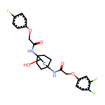 O=C(COc1ccc(F)c(F)c1)NC12CCC(NC(=O)COc3ccc(F)cc3)(CC1)C(O)C2